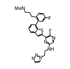 CNCCCc1ccc(F)cc1-c1cccc2cc(-c3nc(NCCn4ccnn4)cnc3F)sc12